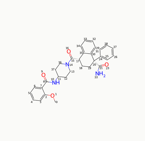 COc1ccccc1C(=O)NC1CCN(C(=O)[C@H]2CC[C@](C(N)=O)(c3ccccc3)c3ccccc32)CC1